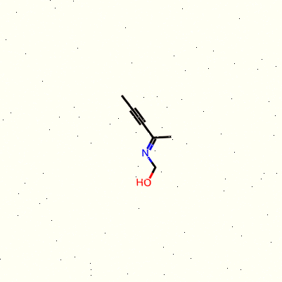 CC#C/C(C)=N/CO